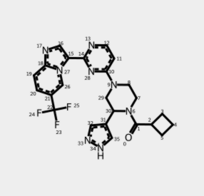 O=C(C1CCC1)N1CCN(c2ccnc(-c3cnc4ccc(C(F)(F)F)cn34)n2)CC1c1cn[nH]c1